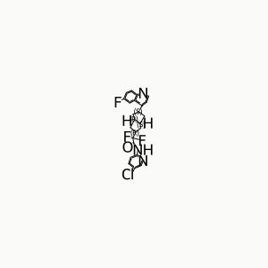 O=C(Nc1ccc(Cl)cn1)C(F)(F)[C@H]1C[C@H]2C[C@@H](c3ccnc4ccc(F)cc34)C[C@H]2C1